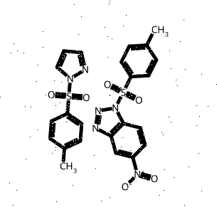 Cc1ccc(S(=O)(=O)n2cccn2)cc1.Cc1ccc(S(=O)(=O)n2nnc3cc([N+](=O)[O-])ccc32)cc1